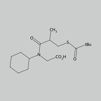 CC(CSC(=O)C(C)(C)C)C(=O)N(CC(=O)O)C1CCCCC1